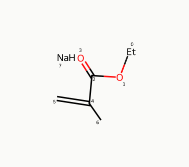 [CH2]COC(=O)C(=C)C.[NaH]